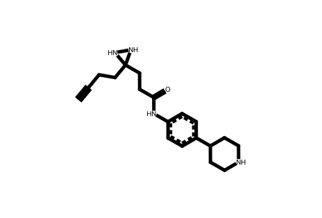 C#CCCC1(CCC(=O)Nc2ccc(C3CCNCC3)cc2)NN1